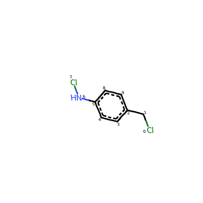 ClCc1ccc(NCl)cc1